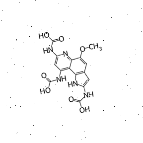 COc1cc2cc(NC(=O)O)[nH]c2c2c(NC(=O)O)cc(NC(=O)O)nc12